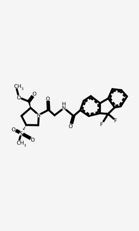 COC(=O)[C@@H]1C[C@@H](S(C)(=O)=O)CN1C(=O)CNC(=O)c1ccc2c(c1)C(F)(F)c1ccccc1-2